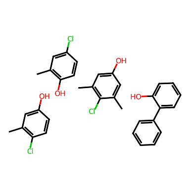 Cc1cc(Cl)ccc1O.Cc1cc(O)cc(C)c1Cl.Cc1cc(O)ccc1Cl.Oc1ccccc1-c1ccccc1